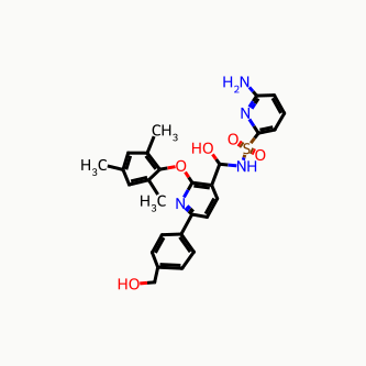 Cc1cc(C)c(Oc2nc(-c3ccc(CO)cc3)ccc2C(O)NS(=O)(=O)c2cccc(N)n2)c(C)c1